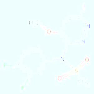 COc1cc(I)nnc1N(c1ccc(F)c(F)c1)S(C)(=O)=O